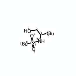 CC(C)(C)[C@H](CO)NS(=O)(=O)C(C)(C)C